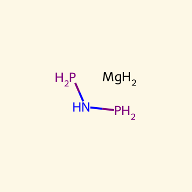 PNP.[MgH2]